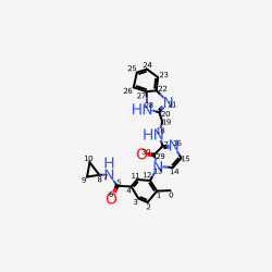 Cc1ccc(C(=O)NC2CC2)cc1-n1ccnc(NCc2nc3ccccc3[nH]2)c1=O